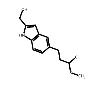 CSC(Cl)CCc1ccc2[nH]c(CO)cc2c1